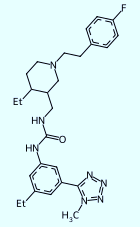 CCc1cc(NC(=O)NCC2CN(CCc3ccc(F)cc3)CCC2CC)cc(-c2nnnn2C)c1